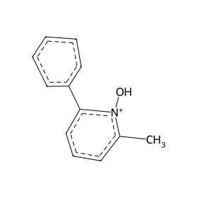 Cc1cccc(-c2ccccc2)[n+]1O